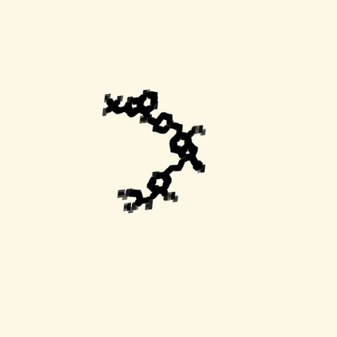 C=CC(=C)Nc1cnc(CCn2c(C#N)cc3c(C)c(CN4CCC(Nc5ncnc6sc(CC(F)(F)F)cc56)CC4)ccc32)cc1C